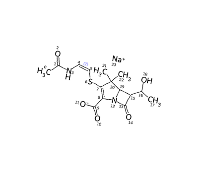 CC(=O)N/C=C\SC1=C(C(=O)[O-])N2C(=O)C(C(C)O)C2C1(C)C.[Na+]